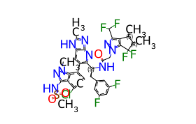 Cc1nc2nc([C@H](Cc3cc(F)cc(F)c3)NC(=O)Cn3nc(C(F)F)c4c3C(F)(F)[C@H](C)[C@@H]4C)c(-c3ccc(Cl)c4c(NS(C)(=O)=O)nn(C)c34)cc2[nH]1